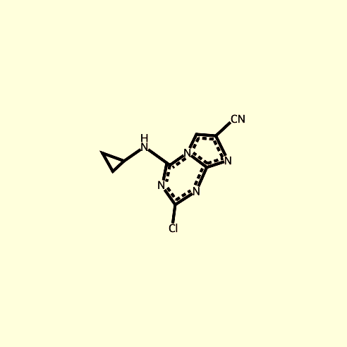 N#Cc1cn2c(NC3CC3)nc(Cl)nc2n1